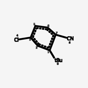 CC(C)(C)c1cc(Cl)ccc1C#N